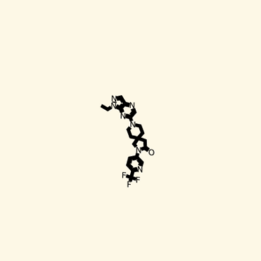 CCn1ncc2ncc(N3CCC4(CC3)CC(=O)N(c3ccc(C(F)(F)F)nc3)C4)nc21